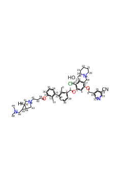 Cc1c(COc2cc(OCc3cncc(C#N)c3)c(CN3CCCC[C@H]3C(=O)O)cc2Cl)cccc1-c1cccc(OCCCN2CC3C(CN(C)C)[C@@H]3C2)c1C